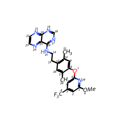 COc1cc(C(F)(F)F)cc(Oc2cc(C)c(CCNc3ncnc4nccnc34)cc2C)n1